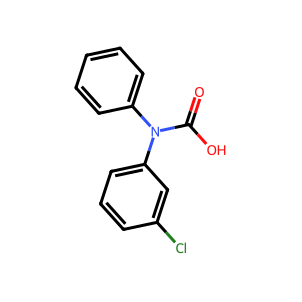 O=C(O)N(c1ccccc1)c1cccc(Cl)c1